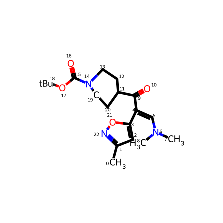 Cc1cc(C(=CN(C)C)C(=O)C2CCN(C(=O)OC(C)(C)C)CC2)on1